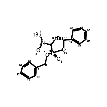 CC(C)(C)C(N([O])C(C)(C)C)P(=O)(OCc1ccccc1)OCc1ccccc1